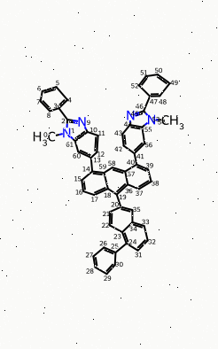 Cn1c(-c2ccccc2)nc2ccc(-c3cccc4c(-c5ccc6c(-c7ccccc7)cccc6c5)c5cccc(-c6ccc7nc(-c8ccccc8)n(C)c7c6)c5cc34)cc21